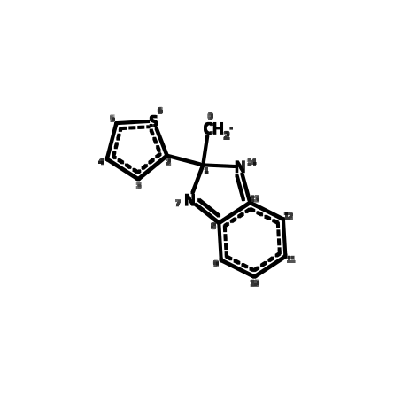 [CH2]C1(c2cccs2)N=c2ccccc2=N1